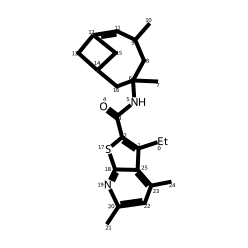 CCc1c(C(=O)NC2(C)CC(C)C=C3CC(C3)C2)sc2nc(C)cc(C)c12